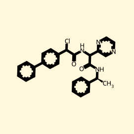 C[C@H](NC(=O)C(NC(=O)C(Cl)c1ccc(-c2ccccc2)cc1)c1cnccn1)c1ccccc1